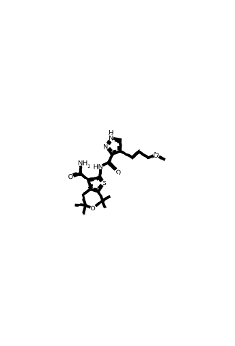 COCCCc1c[nH]nc1C(=O)Nc1sc2c(c1C(N)=O)CC(C)(C)OC2(C)C